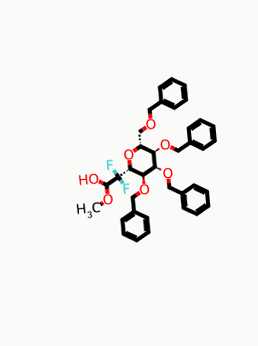 COC(O)C(F)(F)[C@@H]1O[C@H](COCc2ccccc2)[C@H](OCc2ccccc2)[C@H](OCc2ccccc2)[C@H]1OCc1ccccc1